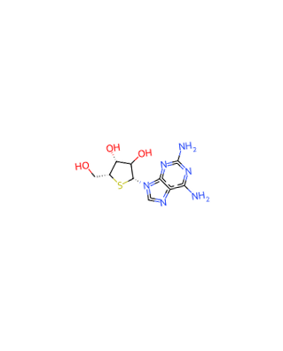 Nc1nc(N)c2ncn([C@@H]3S[C@H](CO)[C@H](O)C3O)c2n1